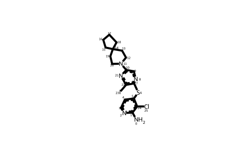 Nc1nccc(Sc2ncc(N3CCC4(CCCC4)CC3)nc2I)c1Cl